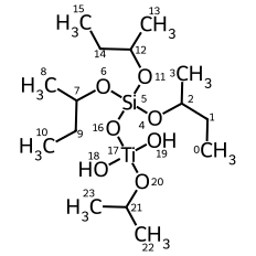 CCC(C)O[Si](OC(C)CC)(OC(C)CC)[O][Ti]([OH])([OH])[O]C(C)C